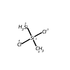 C[Si]([SiH3])(Cl)Cl